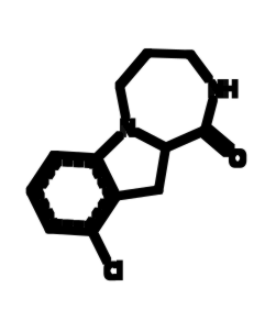 O=C1NCCCN2c3cccc(Cl)c3CC12